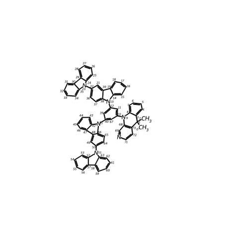 CC1(C)c2ccccc2N(c2cc(-n3c4ccccc4c4cc(-n5c6ccccc6c6ccccc65)ccc43)cc(-n3c4ccccc4c4cc(-n5c6ccccc6c6ccccc65)ccc43)c2)c2cnccc21